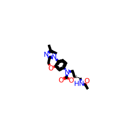 CC(=O)NC[C@H]1CN(c2ccc3c(c2)OCc2nc(C)cn2-3)C(=O)O1